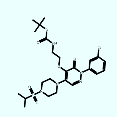 CC(C)S(=O)(=O)N1CCN(c2cnn(-c3cccc(Cl)c3)c(=O)c2OCCNC(=O)OC(C)(C)C)CC1